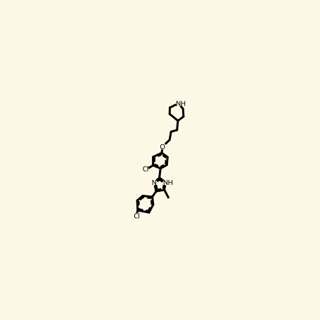 Cc1[nH]c(-c2ccc(OCCCC3CCNCC3)cc2Cl)nc1-c1ccc(Cl)cc1